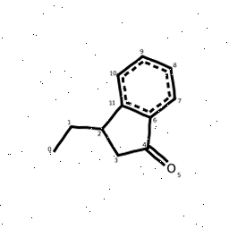 [CH2]CC1CC(=O)c2ccccc21